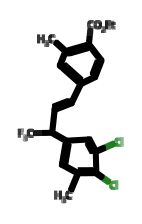 CCOC(=O)c1ccc(/C=C/C(c2cc(C)c(Cl)c(Cl)c2)C(F)(F)F)cc1C